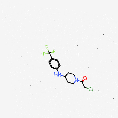 O=C(CCl)N1CCC(Nc2ccc(C(F)(F)F)cc2)CC1